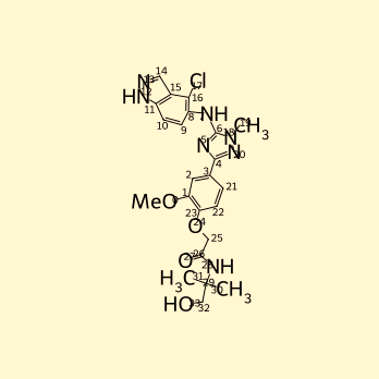 COc1cc(-c2nc(Nc3ccc4[nH]ncc4c3Cl)n(C)n2)ccc1OCC(=O)NC(C)(C)CO